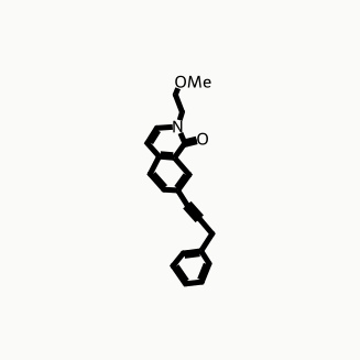 COCCn1ccc2ccc(C#CCc3ccccc3)cc2c1=O